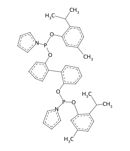 Cc1ccc(C(C)C)c(OP(Oc2ccccc2-c2ccccc2OP(Oc2cc(C)ccc2C(C)C)n2cccc2)n2cccc2)c1